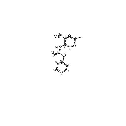 CSc1nc(C)ccc1NC(=O)Oc1ccccc1